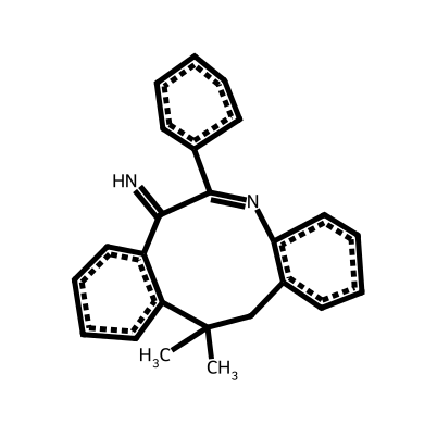 CC1(C)Cc2ccccc2/N=C(/c2ccccc2)C(=N)c2ccccc21